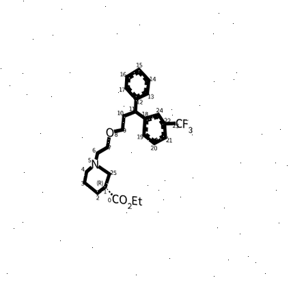 CCOC(=O)[C@@H]1CCCN(CCOCCC(c2ccccc2)c2cccc(C(F)(F)F)c2)C1